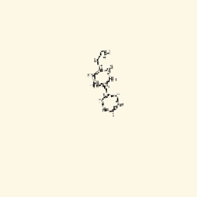 OCc1nnc(-c2ccccc2)nn1